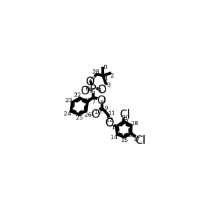 CC1(C)COP(=O)(C(OC(=O)COc2ccc(Cl)cc2Cl)c2ccccc2)OC1